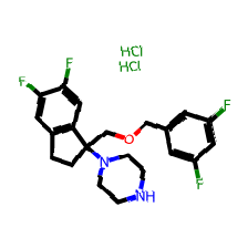 Cl.Cl.Fc1cc(F)cc(COCC2(N3CCNCC3)CCc3cc(F)c(F)cc32)c1